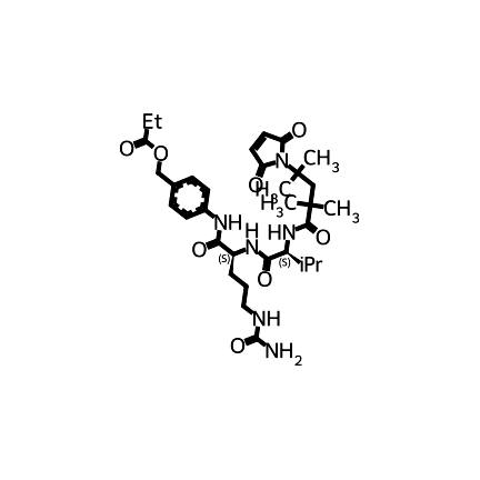 CCC(=O)OCc1ccc(NC(=O)[C@H](CCCNC(N)=O)NC(=O)[C@@H](NC(=O)C(C)(C)CC(C)(C)N2C(=O)C=CC2=O)C(C)C)cc1